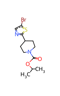 CC(C)OC(=O)N1CCC(c2ncc(Br)s2)CC1